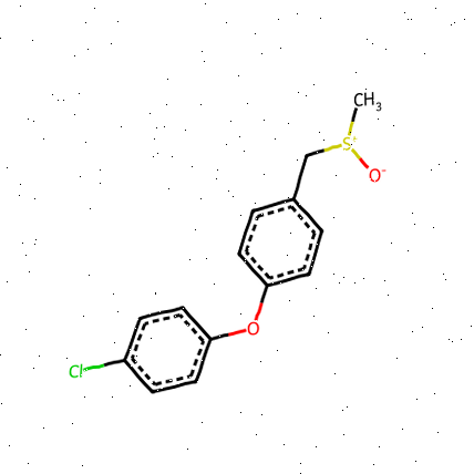 C[S+]([O-])Cc1ccc(Oc2ccc(Cl)cc2)cc1